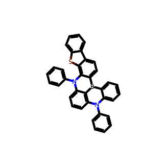 c1ccc(N2c3ccccc3B3c4ccc5c(sc6ccccc65)c4N(c4ccccc4)c4cccc2c43)cc1